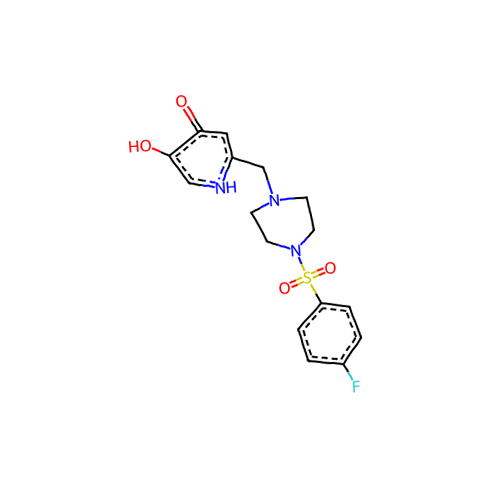 O=c1cc(CN2CCN(S(=O)(=O)c3ccc(F)cc3)CC2)[nH]cc1O